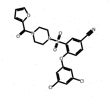 N#Cc1ccc(Oc2cc(Cl)cc(Cl)c2)c(S(=O)(=O)N2CCN(C(=O)c3ccco3)CC2)c1